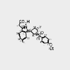 CCOc1ccc(S(=O)(=O)N2C[C@H](n3nc(CC(=O)O)c4ccc(C)cc43)C[C@@H]2C)cc1